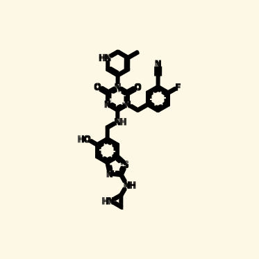 CC1=CC(n2c(=O)nc(NCc3cc4sc(NC5CN5)nc4cc3O)n(Cc3ccc(F)c(C#N)c3)c2=O)=CNC1